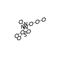 c1ccc(-c2ccc(-c3ccc(-c4nc(-c5ccccc5)nc(-c5cc6c(c7sc8ccccc8c57)-c5cccc7cccc-6c57)n4)cc3)cc2)cc1